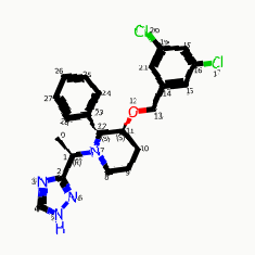 C[C@H](c1nc[nH]n1)N1CCC[C@H](OCc2cc(Cl)cc(Cl)c2)[C@@H]1c1ccccc1